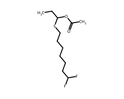 CCC(OC(C)=O)SCCCCCCC(F)F